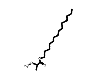 CCCCCCCCCCCCCCOC(=O)C(C)OP